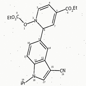 CCOC(=O)ON1C=CC(C(=O)OCC)=CC1c1ccc2c(c1)c(C#N)cn2C(C)C